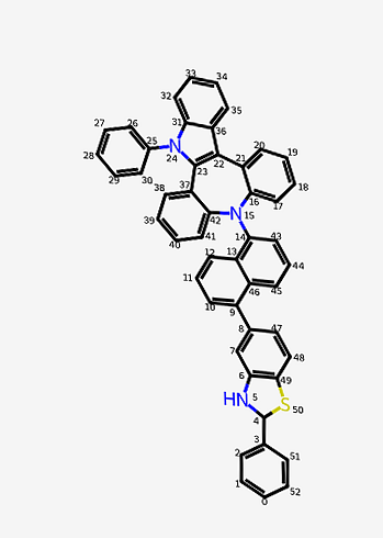 c1ccc(C2Nc3cc(-c4cccc5c(N6c7ccccc7-c7c(n(-c8ccccc8)c8ccccc78)-c7ccccc76)cccc45)ccc3S2)cc1